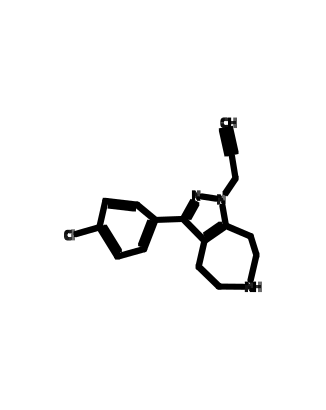 C#CCn1nc(-c2ccc(Cl)cc2)c2c1CCNCC2